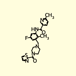 Cc1ccc(C(=O)Nc2cc(F)cc(CN3CCN(C(=O)c4nccs4)CC3)c2C)cn1